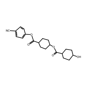 N#Cc1ccc(OC(=O)C2CCC(OC(=O)C3CCC(O)CC3)CC2)cc1